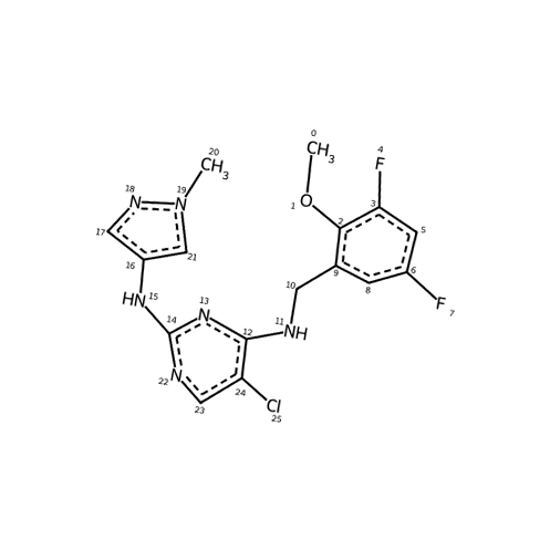 COc1c(F)cc(F)cc1CNc1nc(Nc2cnn(C)c2)ncc1Cl